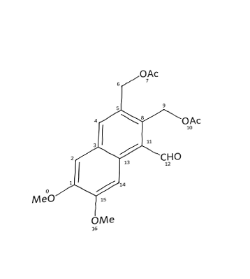 COc1cc2cc(COC(C)=O)c(COC(C)=O)c(C=O)c2cc1OC